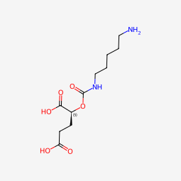 NCCCCCNC(=O)O[C@@H](CCC(=O)O)C(=O)O